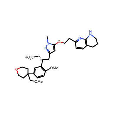 COCC1(c2ccc(OC)c([C@H](CC(=O)O)Cc3cc(OCCc4ccc5c(n4)NCCC5)n(C)n3)c2)CCOCC1